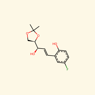 CC1(C)OC[C@H]([C@H](O)/C=C/c2cc(F)ccc2O)O1